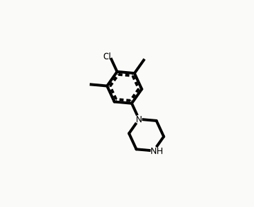 Cc1cc(N2CCNCC2)cc(C)c1Cl